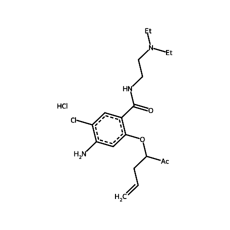 C=CCC(Oc1cc(N)c(Cl)cc1C(=O)NCCN(CC)CC)C(C)=O.Cl